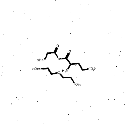 CCCCCCCCCCCC(=O)OC(=O)C(N)CCC(=O)O.CCCCCCCCCCCCOCCCCCCCCCCCC